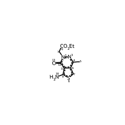 CCOC(=O)Cn1nc(C)c2csc(N)c2c1=O